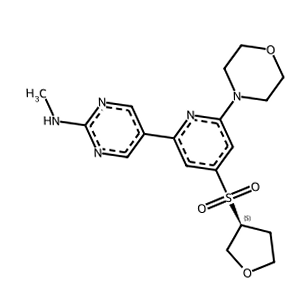 CNc1ncc(-c2cc(S(=O)(=O)[C@H]3CCOC3)cc(N3CCOCC3)n2)cn1